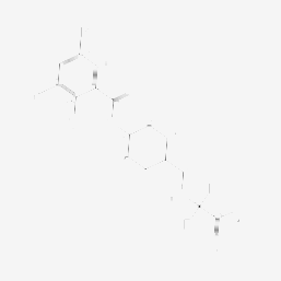 O=C(OC1CCC(COC(F)(F)C(=O)O)CC1)c1cc(I)cc(I)c1O